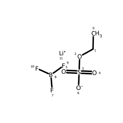 CCOS(=O)(=O)[O-].FB(F)F.[Li+]